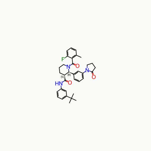 Cc1cccc(F)c1C(=O)N1CCC[C@H](C(=O)Nc2cccc(C(C)(C)C)c2)[C@@H]1c1cccc(N2CCCC2=O)c1